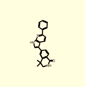 CC1(C)CNC(=O)c2ccc(-c3c[nH]c4nc(-c5ccccc5)ccc34)cc21